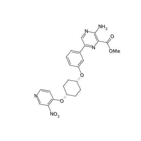 COC(=O)c1nc(-c2cccc(O[C@H]3CC[C@@H](Oc4ccncc4[N+](=O)[O-])CC3)c2)cnc1N